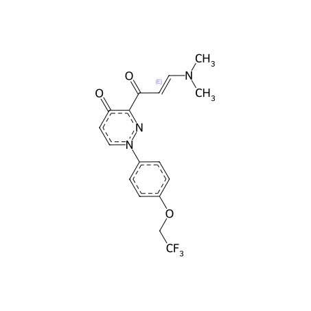 CN(C)/C=C/C(=O)c1nn(-c2ccc(OCC(F)(F)F)cc2)ccc1=O